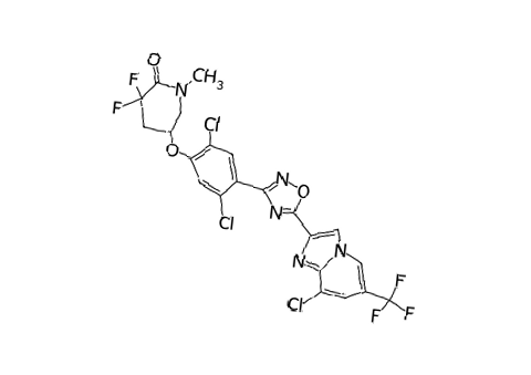 CN1CC(Oc2cc(Cl)c(-c3noc(-c4cn5cc(C(F)(F)F)cc(Cl)c5n4)n3)cc2Cl)CC(F)(F)C1=O